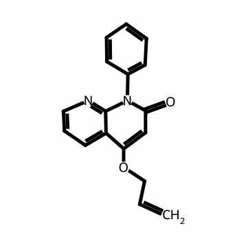 C=CCOc1cc(=O)n(-c2ccccc2)c2ncccc12